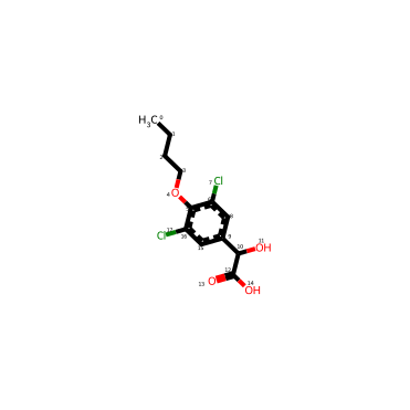 CCCCOc1c(Cl)cc(C(O)C(=O)O)cc1Cl